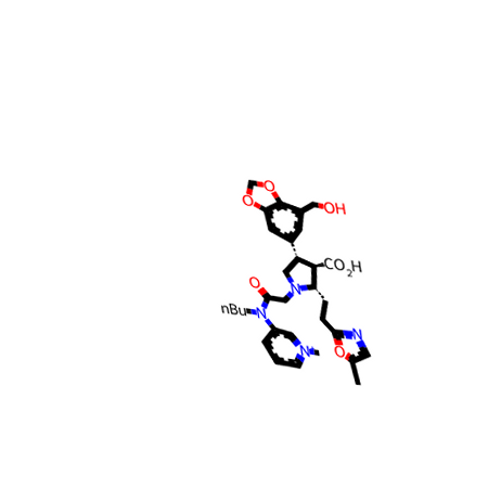 CCCCN(C(=O)CN1C[C@H](c2cc(CO)c3c(c2)OCO3)[C@@H](C(=O)O)[C@@H]1CCc1ncc(C)o1)c1ccc[n+](C)c1